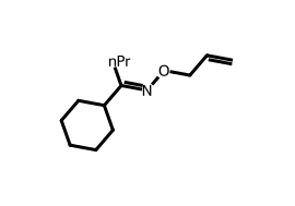 C=CCO/N=C(\CCC)C1CCCCC1